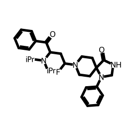 CC(C)N(C(C)C)C(CC(F)N1CCC2(CC1)C(=O)NCN2c1ccccc1)C(=O)c1ccccc1